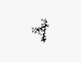 CCOC(=O)[C@H](CCSCCCC(F)(F)F)NC(=O)OC(C)(C)C